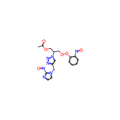 CC(=O)OCC(COOc1ccccc1N=O)n1cc(Cn2ccnc2N=O)nn1